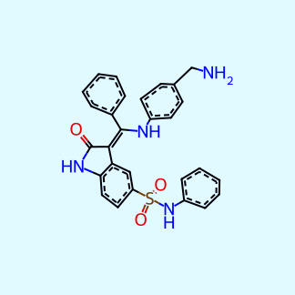 NCc1ccc(NC(=C2C(=O)Nc3ccc(S(=O)(=O)Nc4ccccc4)cc32)c2ccccc2)cc1